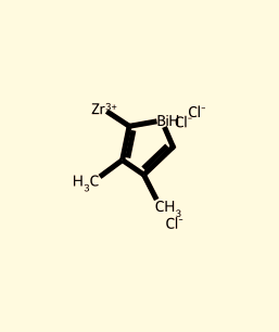 CC1=[CH][BiH][C]([Zr+3])=C1C.[Cl-].[Cl-].[Cl-]